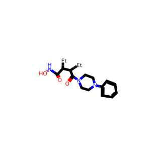 CCC(C(=O)NO)C(CC)C(=O)N1CCN(c2ccccc2)CC1